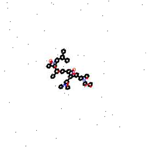 O=c1c2ccccc2c2cc(-c3cc(-c4ccccc4)cc(-c4ccc(-c5ccc6c(=O)n7c8ccc(-c9ccc%10c(c9)c9ccccc9n%10-c9cccc(-c%10ccccc%10)c9)cc8c8cc(-c9ccc%10c(c9)c9ccccc9n%10-c9ccccc9)cc(c6c5)c87)cc4)c3)cc3c4cc(-c5cc(-c6ccccc6)cc(-c6ccccc6)c5)ccc4n1c23